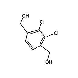 OCc1ccc(CO)c(Cl)c1Cl